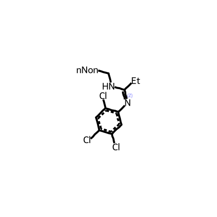 CCCCCCCCCCN/C(CC)=N\c1cc(Cl)c(Cl)cc1Cl